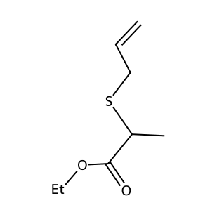 C=CCSC(C)C(=O)OCC